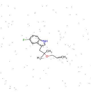 C=CCOC(C)(C)Cc1c[nH]c2ccc(F)cc12